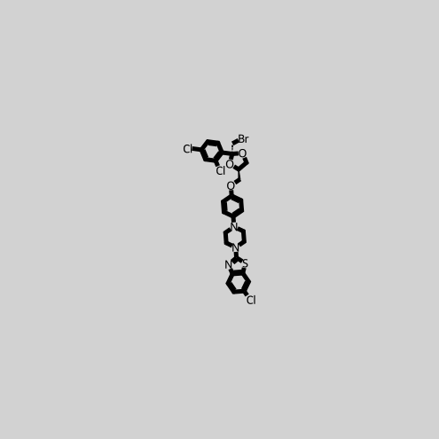 Clc1ccc([C@@]2(CBr)OC[C@@H](COc3ccc(N4CCN(c5nc6ccc(Cl)cc6s5)CC4)cc3)O2)c(Cl)c1